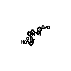 COCCOc1ccn2c(-c3ccc4cccc(OC[C@]5(C(C)(C)C)CCCN5C(=O)O)c4n3)cnc2c1